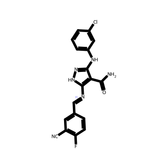 N#Cc1cc(/C=N/c2[nH]nc(Nc3cccc(Cl)c3)c2C(N)=O)ccc1F